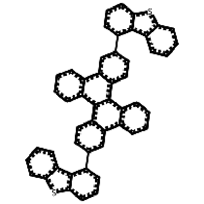 c1ccc2c(c1)sc1cccc(-c3ccc4c(c3)c3ccccc3c3c5ccc(-c6cccc7sc8ccccc8c67)cc5c5ccccc5c43)c12